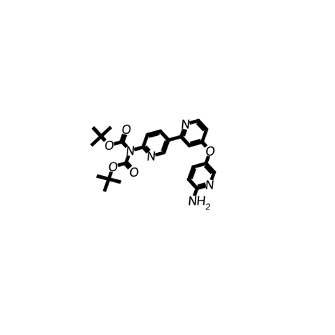 CC(C)(C)OC(=O)N(C(=O)OC(C)(C)C)c1ccc(-c2cc(Oc3ccc(N)nc3)ccn2)cn1